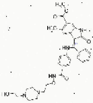 COC(=O)c1cc2c(cc1C)/C(=C(\Nc1ccc(C(=O)NOCCN3CCN(CCO)CC3)cc1)c1ccccc1)C(=O)N2